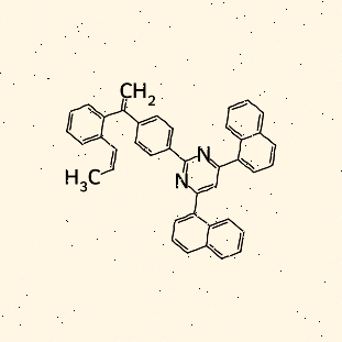 C=C(c1ccc(-c2nc(-c3cccc4ccccc34)cc(-c3cccc4ccccc34)n2)cc1)c1ccccc1/C=C\C